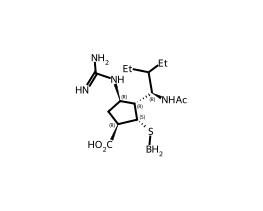 BS[C@H]1[C@@H]([C@H](NC(C)=O)C(CC)CC)[C@H](NC(=N)N)C[C@@H]1C(=O)O